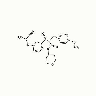 COc1ccc(CC2C(=O)c3cc(OC(C)C#N)ccc3N(C3CCOCC3)C2=O)cn1